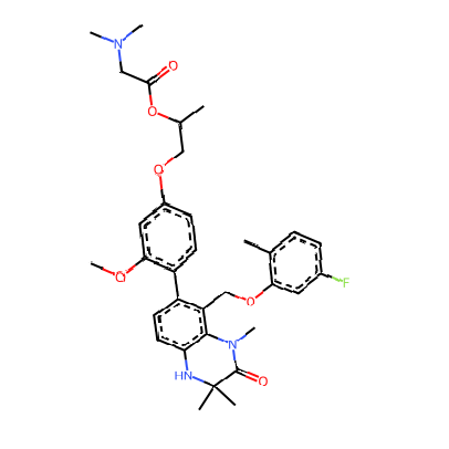 COc1cc(OCC(C)OC(=O)CN(C)C)ccc1-c1ccc2c(c1COc1cc(F)ccc1C)N(C)C(=O)C(C)(C)N2